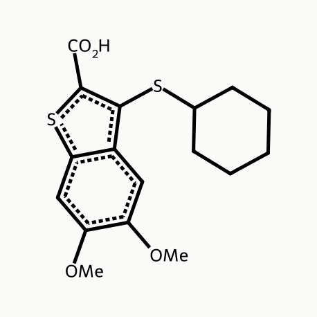 COc1cc2sc(C(=O)O)c(SC3CCCCC3)c2cc1OC